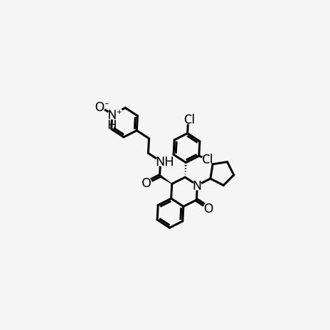 O=C(NCCC1=CC[NH+]([O-])C=C1)[C@@H]1c2ccccc2C(=O)N(C2CCCC2)[C@H]1c1ccc(Cl)cc1Cl